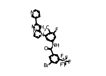 Cc1c(F)cc(NC(=O)c2cc(Br)cc(S(F)(F)(F)(F)F)c2)cc1-n1ccn2nc(-c3cccnc3)cc12